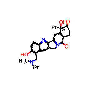 CC[C@@]1(O)C(=O)CCc2c1cc1n(c2=O)Cc2cc3c(CN(C)C(C)C)c(O)ccc3nc2-1